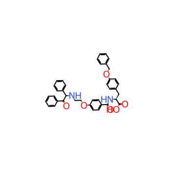 O=C(N[C@@H](Cc1ccc(OCc2ccccc2)cc1)C(=O)O)c1ccc(OCCNC(C(=O)c2ccccc2)c2ccccc2)cc1